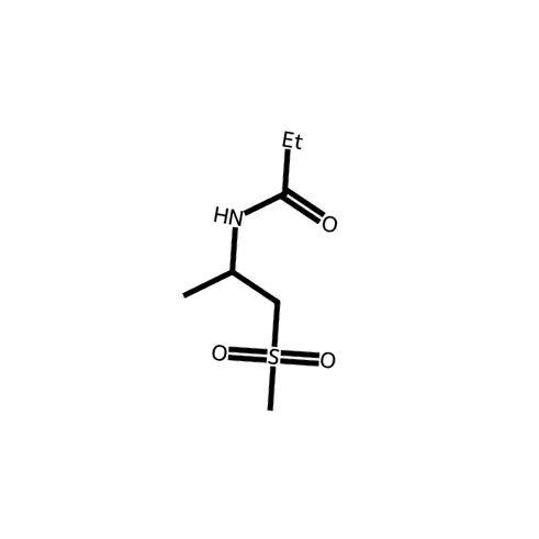 CCC(=O)NC(C)CS(C)(=O)=O